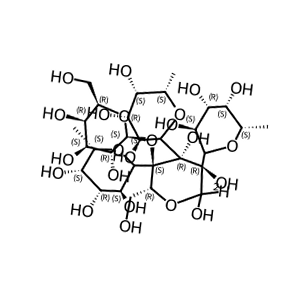 [2H]C1(O)O[C@H](CO)[C@](O[C@@H]2O[C@H](CO)[C@H](O)[C@H](O)[C@H]2O)(C2O[C@@H](C)[C@@H](O)[C@@H](O)[C@@H]2O)[C@@](O)(C2O[C@@H](C)[C@@H](O)[C@@H](O)[C@@H]2O)[C@]1(O)C1O[C@@H](C)[C@@H](O)[C@@H](O)[C@@H]1O